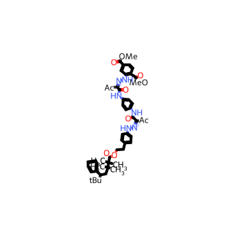 COC(=O)c1ccc(C(=O)OC)c(N/N=C(/C(C)=O)C(=O)Nc2ccc(NC(=O)/C(=N\Nc3ccc(CCOC(=O)C(C)(C)C(C)(C)CC(c4ccccc4)C(C)(C)C)cc3)C(C)=O)cc2)c1